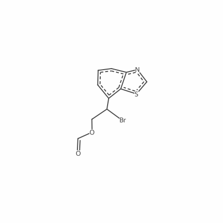 O=COCC(Br)c1cccc2ncsc12